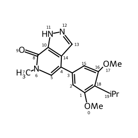 COc1cc(-c2cn(C)c(=O)c3[nH]ncc23)cc(OC)c1C(C)C